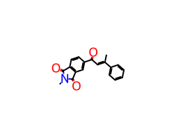 C/C(=C\C(=O)c1ccc2c(c1)C(=O)N(C)C2=O)c1ccccc1